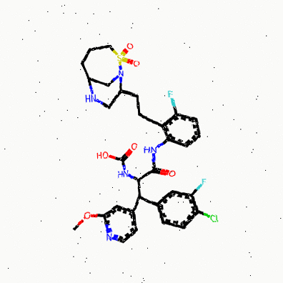 COc1cc(C(c2ccc(Cl)c(F)c2)C(NC(=O)O)C(=O)Nc2cccc(F)c2CCC2CNC3CCCS(=O)(=O)N2C3)ccn1